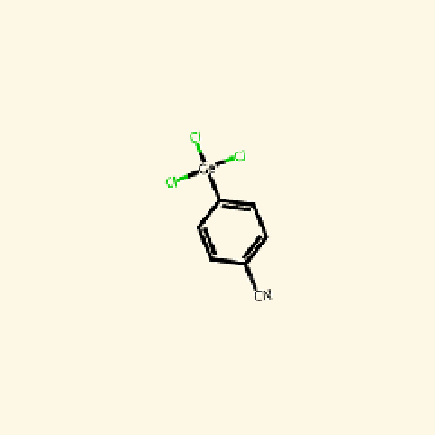 N#Cc1cc[c]([Ge]([Cl])([Cl])[Cl])cc1